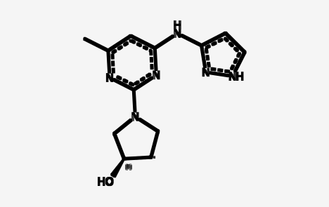 Cc1cc(Nc2cc[nH]n2)nc(N2C[CH][C@@H](O)C2)n1